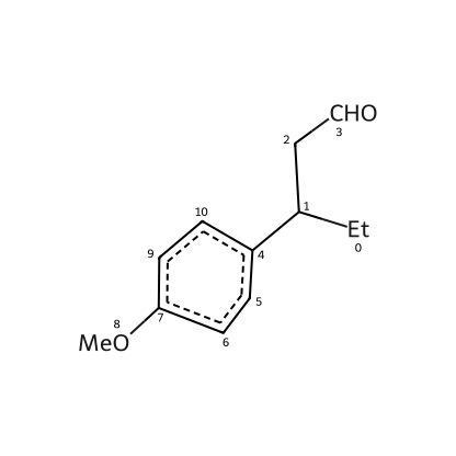 CCC(CC=O)c1ccc(OC)cc1